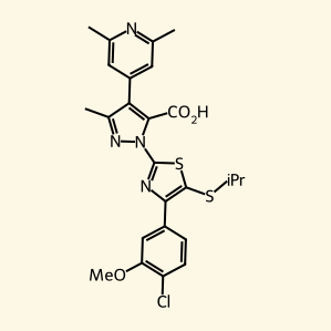 COc1cc(-c2nc(-n3nc(C)c(-c4cc(C)nc(C)c4)c3C(=O)O)sc2SC(C)C)ccc1Cl